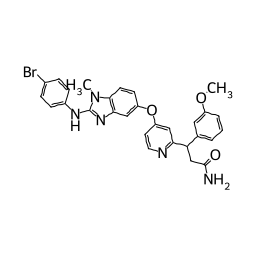 COc1cccc(C(CC(N)=O)c2cc(Oc3ccc4c(c3)nc(Nc3ccc(Br)cc3)n4C)ccn2)c1